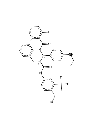 Cc1cccc(F)c1C(=O)N1c2ccccc2C[C@H](C(=O)Nc2ccc(CO)c(C(F)(F)F)c2)[C@@H]1c1ccc(NC(C)C)cc1